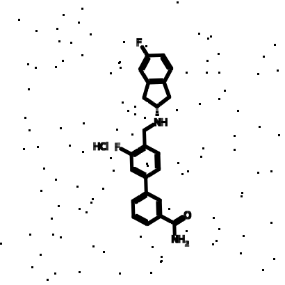 Cl.NC(=O)c1cccc(-c2ccc(CN[C@H]3Cc4ccc(F)cc4C3)c(F)c2)c1